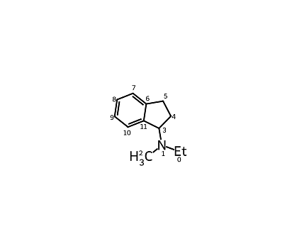 CCN(C)C1CCc2ccccc21